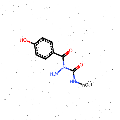 CCCCCCCCNC(=O)N(N)C(=O)c1ccc(O)cc1